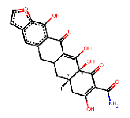 NC(=O)C1=C(O)C[C@@H]2CC3Cc4cc5ccoc5c(O)c4C(=O)C3=C(O)[C@]2(O)C1=O